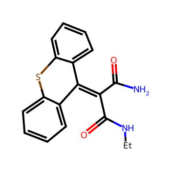 [CH2]CNC(=O)C(C(N)=O)=C1c2ccccc2Sc2ccccc21